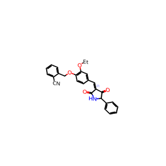 CCOc1cc(/C=C2\C(=O)NC(c3ccccc3)C2=O)ccc1OCc1ccccc1C#N